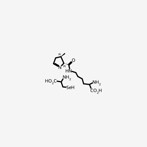 C[C@@H]1CC=N[C@H]1C(=O)NCCCCC(N)C(=O)O.NC(C[SeH])C(=O)O